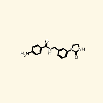 Nc1ccc(C(=O)NCc2cccc(N3CCNC3=O)c2)cc1